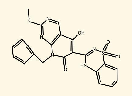 CSc1ncc2c(O)c(C3=NS(=O)(=O)c4ccccc4N3)c(=O)n(Cc3ccccc3)c2n1